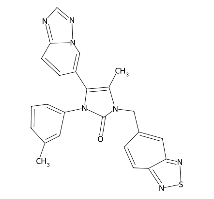 Cc1cccc(-n2c(-c3ccc4ncnn4c3)c(C)n(Cc3ccc4nsnc4c3)c2=O)c1